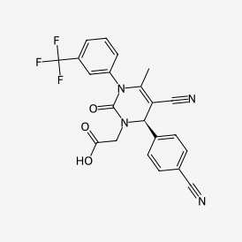 CC1=C(C#N)[C@@H](c2ccc(C#N)cc2)N(CC(=O)O)C(=O)N1c1cccc(C(F)(F)F)c1